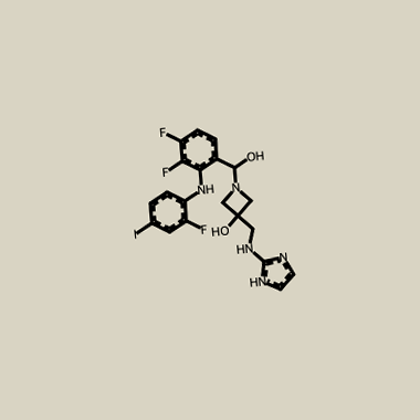 OC(c1ccc(F)c(F)c1Nc1ccc(I)cc1F)N1CC(O)(CNc2ncc[nH]2)C1